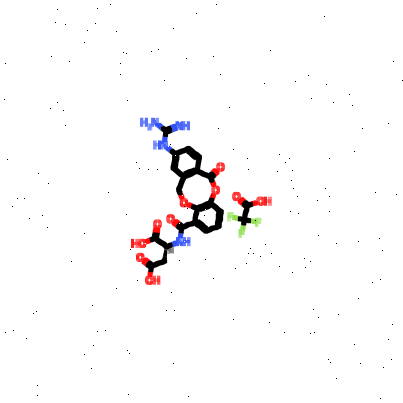 N=C(N)Nc1ccc2c(c1)COc1c(cccc1C(=O)N[C@@H](CC(=O)O)C(=O)O)OC2=O.O=C(O)C(F)(F)F